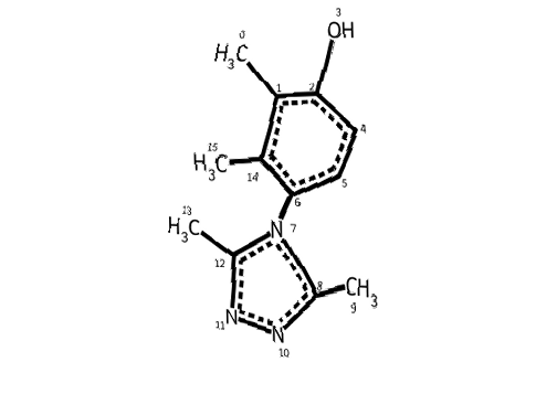 Cc1c(O)ccc(-n2c(C)nnc2C)c1C